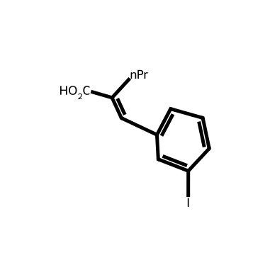 CCC/C(=C\c1cccc(I)c1)C(=O)O